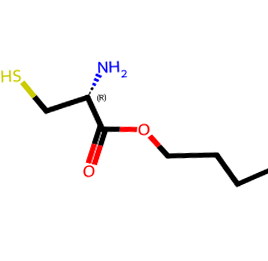 CCCCOC(=O)[C@@H](N)CS